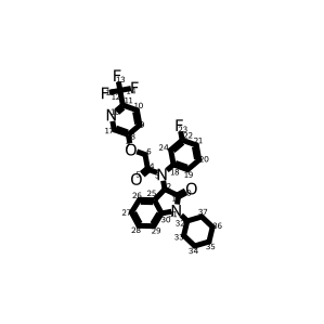 O=C1C(N(C(=O)COc2ccc(C(F)(F)F)nc2)c2cccc(F)c2)c2ccccc2N1C1CCCCC1